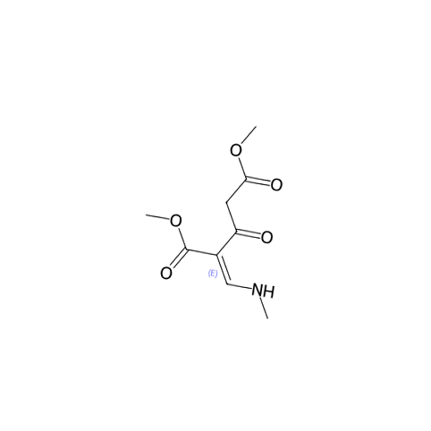 CN/C=C(\C(=O)CC(=O)OC)C(=O)OC